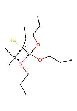 CCCO[Si](OCCC)(OCCC)[C@](S)(CC)[Si](C)(C)C